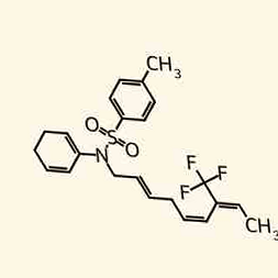 C/C=C(\C=C/C/C=C/CN(C1=CCCC=C1)S(=O)(=O)c1ccc(C)cc1)C(F)(F)F